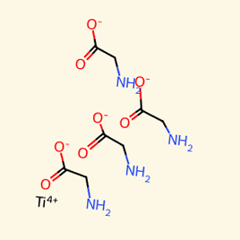 NCC(=O)[O-].NCC(=O)[O-].NCC(=O)[O-].NCC(=O)[O-].[Ti+4]